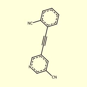 N#Cc1cncc(C#Cc2ccccc2C#N)c1